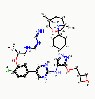 C[C@@H](CN/C=N\C=N)Oc1cc(-c2cnc(Nc3cn([C@H]4CC[C@H](N5C[C@H]6CC[C@@H]5COC6)CC4)nc3OCC3COC3)nc2)ccc1Cl